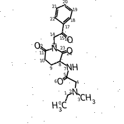 CCN(C)CC(=O)NC1CCC(=O)N(CC(=O)c2ccccc2)C1=O